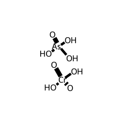 O=[As](O)(O)O.[O]=[Cr](=[O])([OH])[OH]